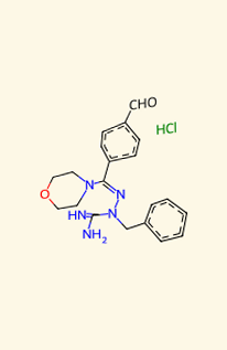 Cl.N=C(N)N(Cc1ccccc1)N=C(c1ccc(C=O)cc1)N1CCOCC1